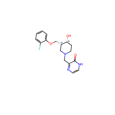 O=c1[nH]ccnc1CN1CC[C@@H](O)[C@@H](COc2ccccc2F)C1